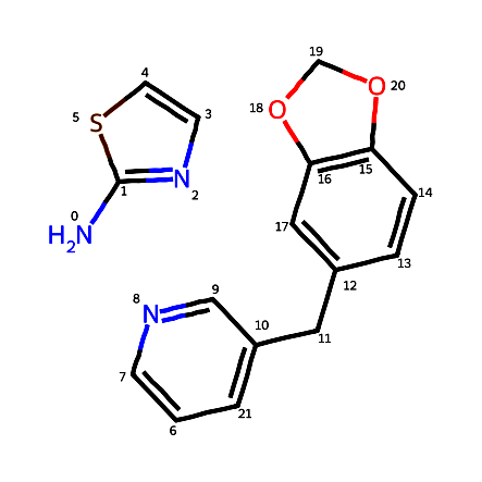 Nc1nccs1.c1cncc(Cc2ccc3c(c2)OCO3)c1